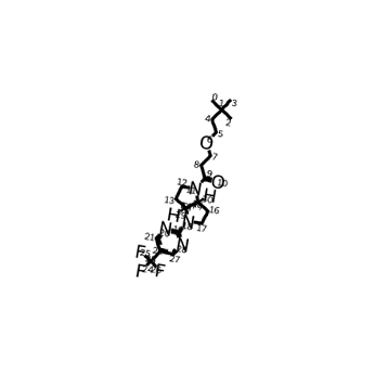 CC(C)(C)CCOCCC(=O)N1CC[C@@H]2[C@H]1CCN2c1ncc(C(F)(F)F)cn1